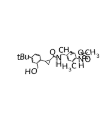 Cc1cc([C@@H](C)NC(=O)C2CC2c2ccc(C(C)(C)C)cc2CO)ccc1NS(C)(=O)=O